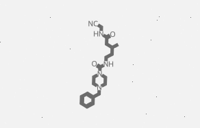 CC(CCNC(=O)N1CCN(Cc2ccccc2)CC1)CC(=O)NCC#N